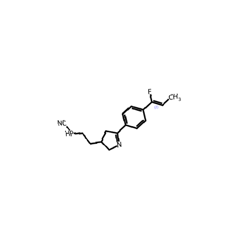 C/C=C(\F)c1ccc(C2=NCC(CCPC#N)C2)cc1